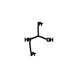 CC(C)NC(O)C(C)C